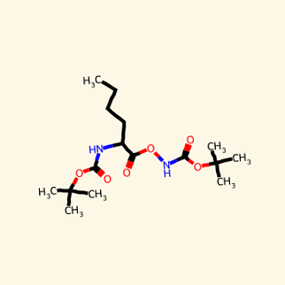 CCCCC(NC(=O)OC(C)(C)C)C(=O)ONC(=O)OC(C)(C)C